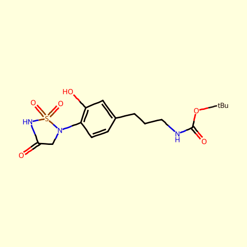 CC(C)(C)OC(=O)NCCCc1ccc(N2CC(=O)NS2(=O)=O)c(O)c1